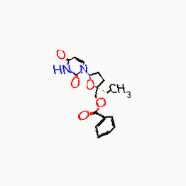 CC[C@@]1(COC(=O)c2ccccc2)CCC(n2ccc(=O)[nH]c2=O)O1